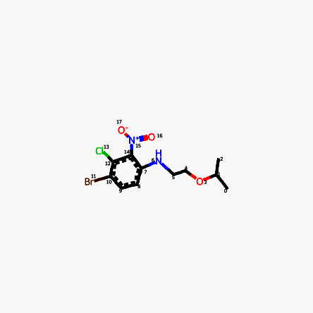 CC(C)OCCNc1ccc(Br)c(Cl)c1[N+](=O)[O-]